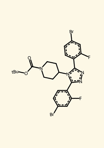 CC(C)(C)OC(=O)N1CCC(n2c(-c3ccc(Br)cc3F)nnc2-c2ccc(Br)cc2F)CC1